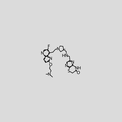 CN(C)CCOc1ccc2ncc(F)c(CCN3CC[C@@H](CNCc4cnc5c(n4)NC(=O)CS5)C3)c2n1